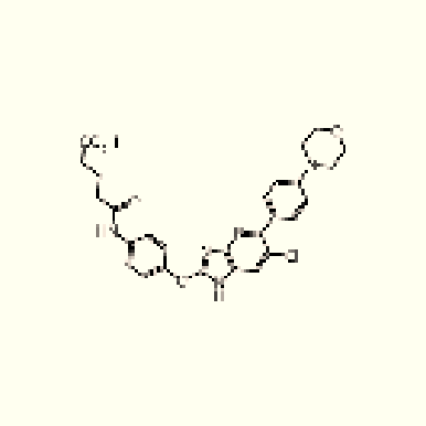 O=C(O)CCCC(=O)Nc1ccc(Oc2nc3nc(-c4ccc(N5CCOCC5)cc4)c(Cl)cc3[nH]2)cc1